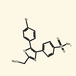 COCc1nc(-c2ccc(S(N)(=O)=O)cc2)c(-c2ccc(Br)cc2)o1